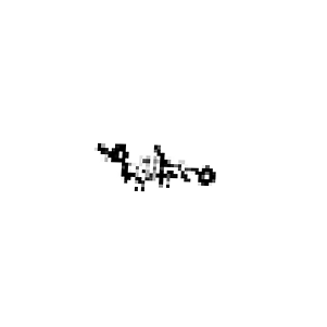 CCCCC[C@H](CN(C=O)OCc1ccccc1)C(=O)NCNC(=O)c1ccc(-c2cccc(SCC)c2)o1